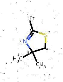 CC(C)C1=NC(C)(C)CS1